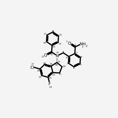 NC(=O)c1ccccc1CN(C(=O)c1ccccc1)[C@@H]1CCc2c(F)cc(Cl)cc21